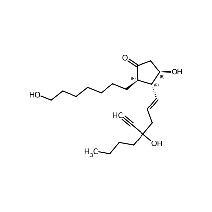 C#CC(O)(CC=C[C@H]1[C@H](O)CC(=O)[C@@H]1CCCCCCCO)CCCC